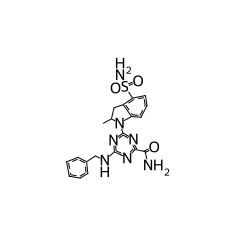 CC1Cc2c(cccc2S(N)(=O)=O)N1c1nc(NCc2ccccc2)nc(C(N)=O)n1